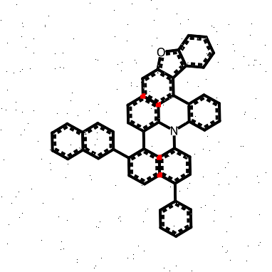 c1ccc(-c2ccc(N(c3ccccc3-c3ccccc3-c3ccc4ccccc4c3)c3ccccc3-c3cccc4oc5ccccc5c34)cc2)cc1